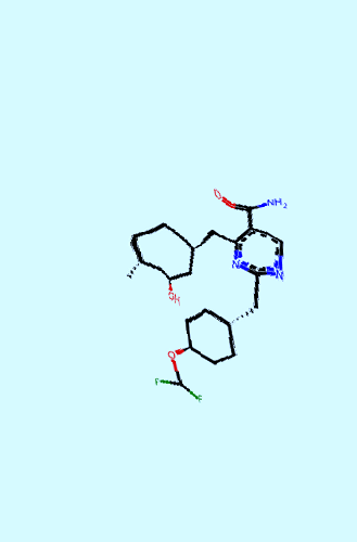 C[C@@H]1CC[C@@H](Cc2nc(C[C@H]3CC[C@H](OC(F)F)CC3)ncc2C(N)=O)C[C@H]1O